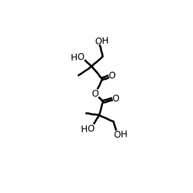 CC(O)(CO)C(=O)OC(=O)C(C)(O)CO